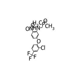 CP(C)(=O)CNc1cc(Oc2ccc(C(F)(F)F)cc2Cl)ccc1[N+](=O)[O-]